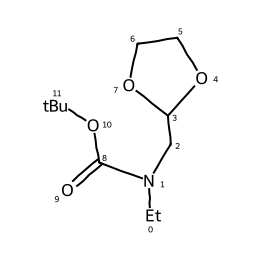 CCN(CC1OCCO1)C(=O)OC(C)(C)C